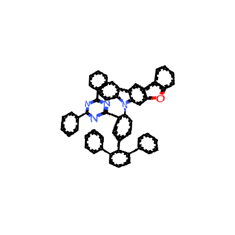 c1ccc(-c2nc(-c3ccccc3)nc(-c3cc(-c4c(-c5ccccc5)cccc4-c4ccccc4)ccc3-n3c4ccccc4c4cc5c(cc43)oc3ccccc35)n2)cc1